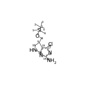 CC(C)(C)[Si](C)(C)OCC1CNc2nc(N)nc(Cl)c21